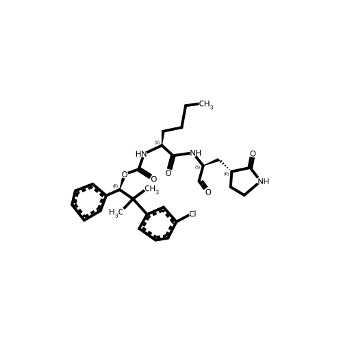 CCCC[C@H](NC(=O)O[C@H](c1ccccc1)C(C)(C)c1cccc(Cl)c1)C(=O)N[C@H](C=O)C[C@H]1CCNC1=O